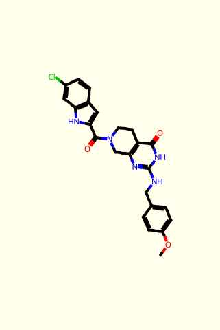 COc1ccc(CNc2nc3c(c(=O)[nH]2)CCN(C(=O)c2cc4ccc(Cl)cc4[nH]2)C3)cc1